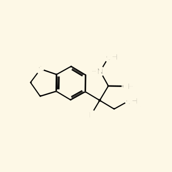 CCC(F)(c1ccc2c(c1)CCS2)C(C)NC